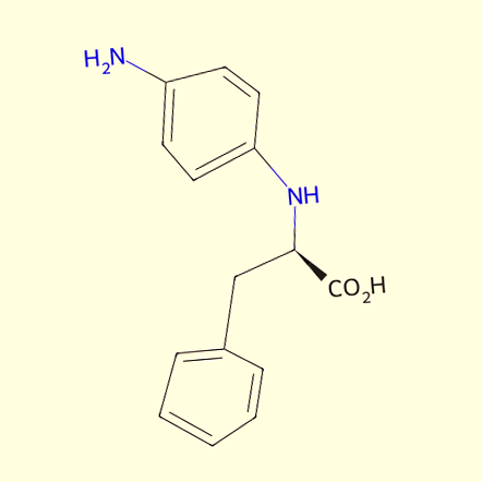 Nc1ccc(N[C@H](Cc2ccccc2)C(=O)O)cc1